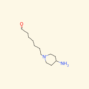 NC1CCN(CCCCCCC=O)CC1